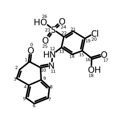 O=C1C=Cc2ccccc2/C1=N/Nc1cc(C(=O)O)c(Cl)cc1S(=O)(=O)O